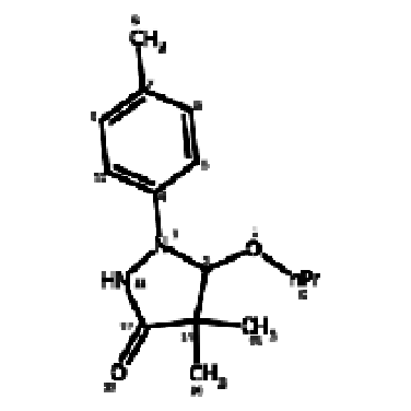 CCCOC1N(c2ccc(C)cc2)NC(=O)C1(C)C